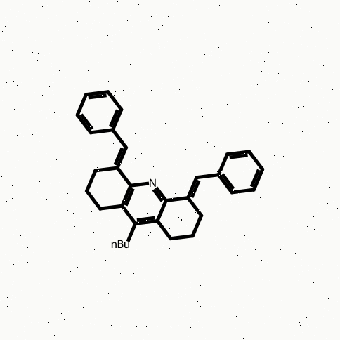 CCCCc1c2c(nc3c1CCCC3=Cc1ccccc1)C(=Cc1ccccc1)CCC2